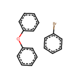 Brc1ccccc1.c1ccc(Oc2ccccc2)cc1